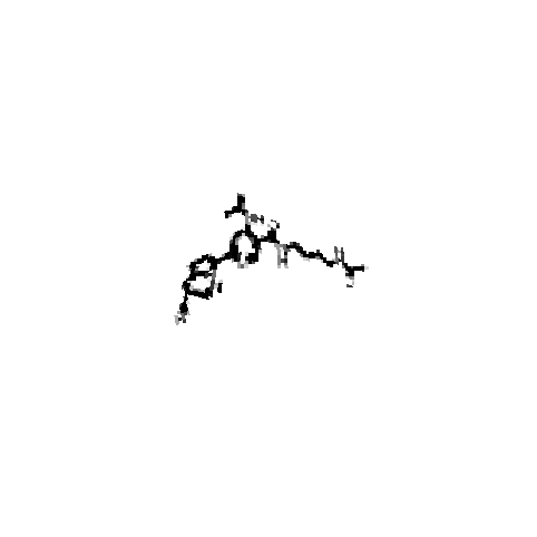 CC(=O)NCCCCNC(=O)c1cnc(-c2ccc3cc(C#N)cnn23)cc1NC(C)C